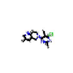 Cc1cnc2c(c1)CN(c1nc(C)nc(Cl)c1C)CC2